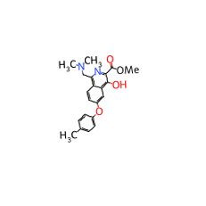 COC(=O)c1nc(CN(C)C)c2ccc(Oc3ccc(C)cc3)cc2c1O